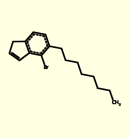 CCCCCCCCc1ccc2c(c1Br)C=CC2